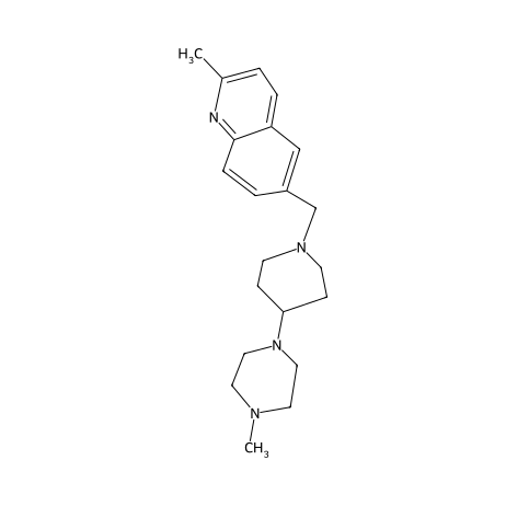 Cc1ccc2cc(CN3CCC(N4CCN(C)CC4)CC3)ccc2n1